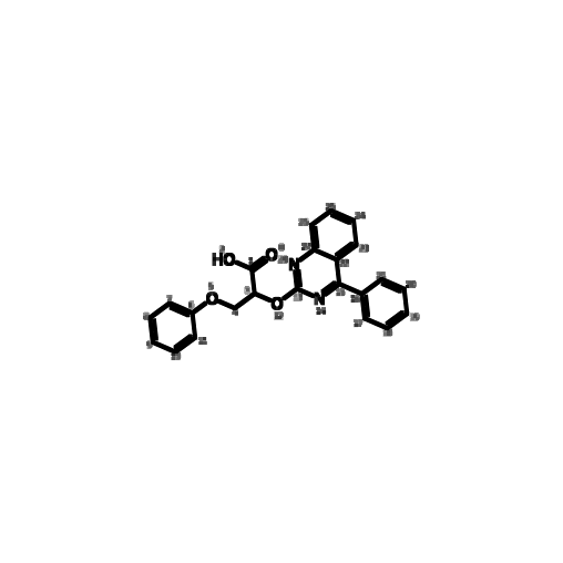 O=C(O)C(COc1ccccc1)Oc1nc(-c2ccccc2)c2ccccc2n1